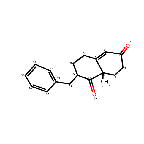 CC12CCC(=O)C=C1CCC(Cc1ccccc1)C2=O